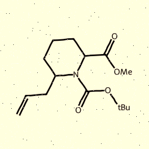 C=CCC1CCCC(C(=O)OC)N1C(=O)OC(C)(C)C